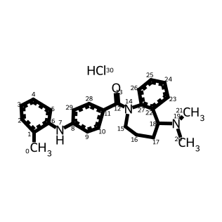 Cc1ccccc1Nc1ccc(C(=O)N2CCCC(N(C)C)c3ccccc32)cc1.Cl